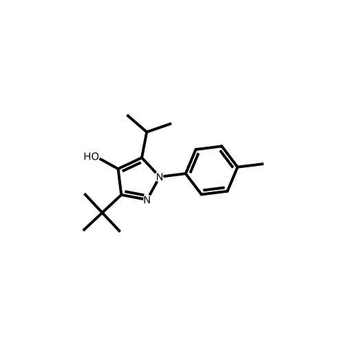 Cc1ccc(-n2nc(C(C)(C)C)c(O)c2C(C)C)cc1